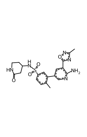 Cc1noc(-c2cc(-c3cc(S(=O)(=O)NC4CCNC(=O)C4)ccc3C)cnc2N)n1